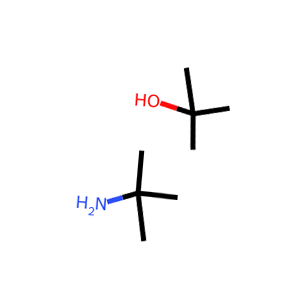 CC(C)(C)N.CC(C)(C)O